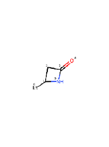 CCC1CC(=O)N1